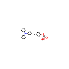 CCC(=O)C(C)(CO)Oc1ccc(CCc2ccc(N(c3ccccc3)c3ccccc3)cc2)cc1